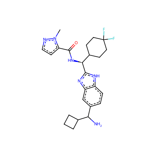 Cn1nccc1C(=O)N[C@H](c1nc2cc(C(N)C3CCC3)ccc2[nH]1)C1CCC(F)(F)CC1